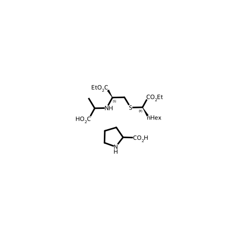 CCCCCC[C@@H](SC[C@@H](NC(C)C(=O)O)C(=O)OCC)C(=O)OCC.O=C(O)C1CCCN1